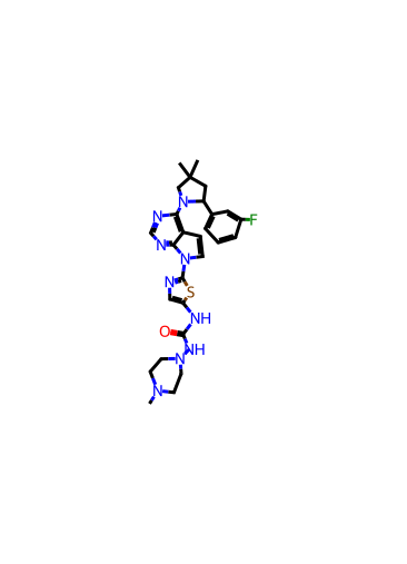 CN1CCN(NC(=O)Nc2cnc(-n3ccc4c(N5CC(C)(C)CC5c5cccc(F)c5)ncnc43)s2)CC1